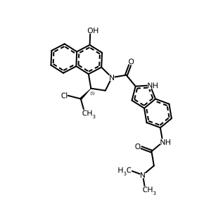 CC(Cl)[C@@H]1CN(C(=O)c2cc3cc(NC(=O)CN(C)C)ccc3[nH]2)c2cc(O)c3ccccc3c21